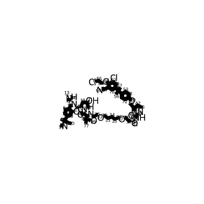 Cc1ncsc1-c1ccc([C@H](CN(C)C)NC(=O)[C@@H]2C[C@H](O)CN2C(=O)[C@@H](NC(=O)COCCCCCOCCS(=O)(=O)Nc2nccc(COc3ccc(C(C)(C)c4cc(Cl)c(OCCCl)c(C#N)c4)cc3)n2)C(C)(C)C)cc1